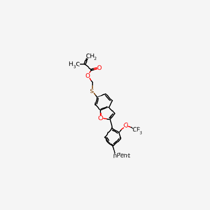 C=C(C)C(=O)OCSc1ccc2cc(-c3ccc(CCCCC)cc3OC(F)(F)F)oc2c1